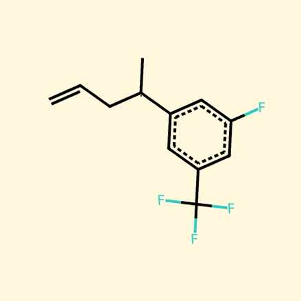 C=CC[C](C)c1cc(F)cc(C(F)(F)F)c1